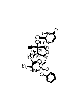 C#C[C@@]1(O)[C@H](O)[C@@H](COP(=O)(NC(CC)C(=O)OC(C)C)Oc2ccccc2)O[C@H]1n1ccc(=O)[nH]c1=O